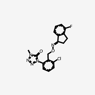 Cn1nnn(-c2cccc(Cl)c2CON=C2CCc3c(F)cccc32)c1=O